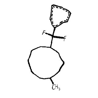 CC1CCCCCC(C(F)(F)c2ccccc2)CCC1